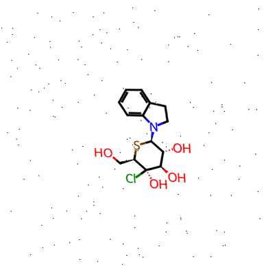 OC[C@H]1S[C@@H](N2CCc3ccccc32)[C@H](O)[C@@H](O)[C@@]1(O)Cl